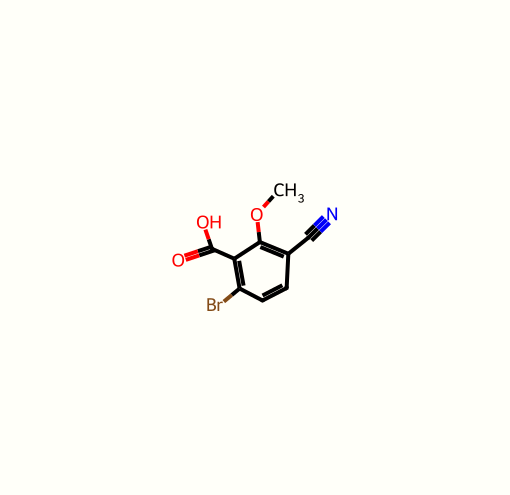 COc1c(C#N)ccc(Br)c1C(=O)O